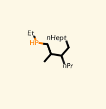 CCCCCCCCC(CCC)C(C)CPCC